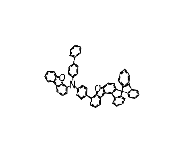 c1ccc(-c2ccc(N(c3ccc(-c4cccc5c4oc4ccc6c(c45)-c4ccccc4C64c5ccccc5-c5ccccc54)cc3)c3cccc4c3oc3ccccc34)cc2)cc1